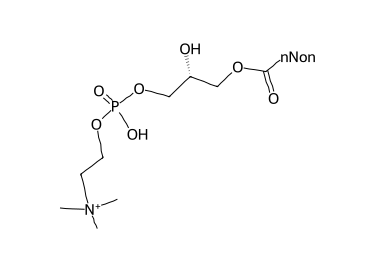 CCCCCCCCCC(=O)OC[C@@H](O)COP(=O)(O)OCC[N+](C)(C)C